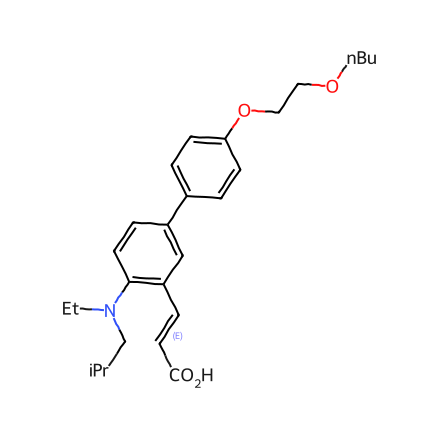 CCCCOCCOc1ccc(-c2ccc(N(CC)CC(C)C)c(/C=C/C(=O)O)c2)cc1